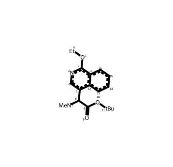 CCOc1ncc(C(NC)C(=O)OC(C)(C)C)c2ccccc12